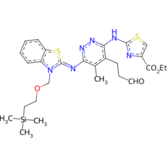 CCOC(=O)c1csc(Nc2nnc(/N=c3\sc4ccccc4n3COCC[Si](C)(C)C)c(C)c2CCC=O)n1